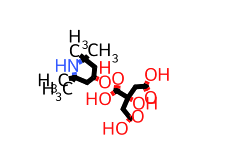 CC1(C)CC(O)CC(C)(C)N1.O=C(O)CC(O)(CC(=O)O)C(=O)O